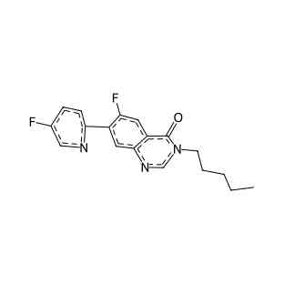 CCCCCn1cnc2cc(-c3ccc(F)cn3)c(F)cc2c1=O